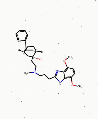 COc1ccc(OC)c2[nH]c(CCCN(C)CC[C@@]3(O)C[C@@H]4CC[C@H]3C=C4c3ccccc3)nc12